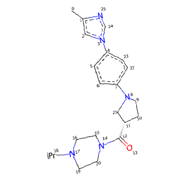 Cc1cn(-c2ccc(N3CC[C@H](C(=O)N4CCN(C(C)C)CC4)C3)cc2)cn1